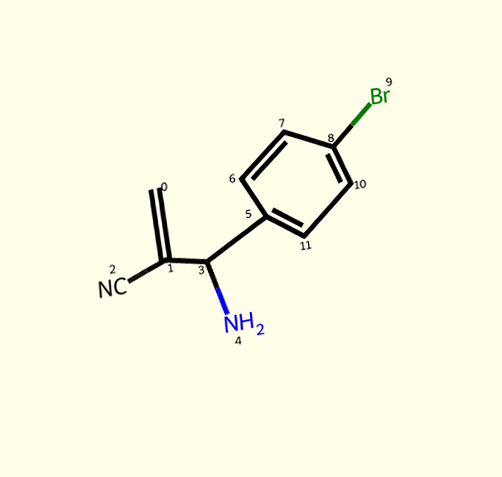 C=C(C#N)C(N)c1ccc(Br)cc1